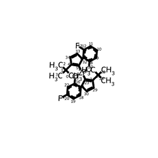 CC(C)(C)C1=[C]([Zr]([O]c2cccc(F)c2)([O]c2cccc(F)c2)[C]2=C(C(C)(C)C)C=CC2)CC=C1